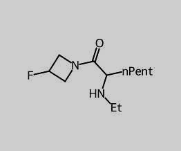 CCCCCC(NCC)C(=O)N1CC(F)C1